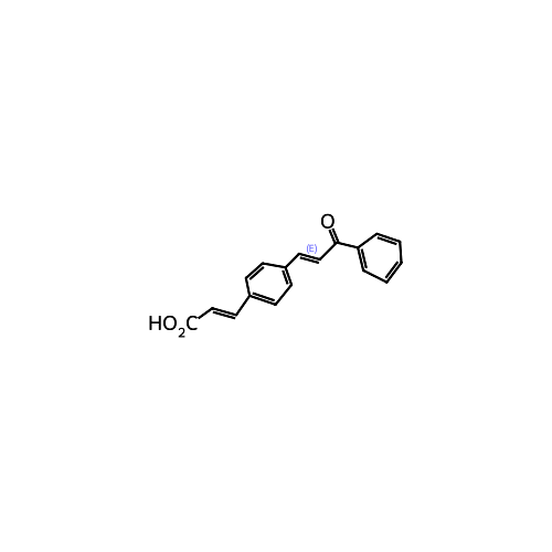 O=C(O)C=Cc1ccc(/C=C/C(=O)c2ccccc2)cc1